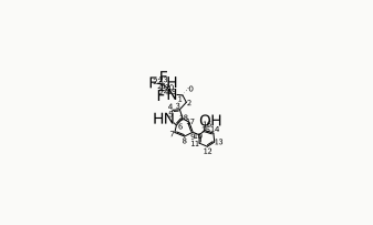 C[C@H](Cc1c[nH]c2ccc(-c3ccccc3O)cc12)NCC(F)(F)F